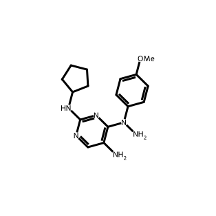 COc1ccc(N(N)c2nc(NC3CCCC3)ncc2N)cc1